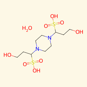 O.O=S(=O)(O)C(CCO)N1CCN(C(CCO)S(=O)(=O)O)CC1